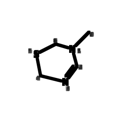 CN1C=NCSC1